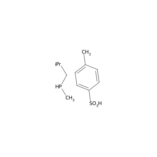 CPCC(C)C.Cc1ccc(S(=O)(=O)O)cc1